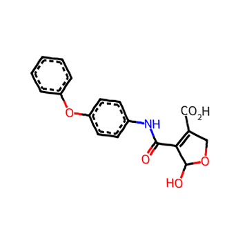 O=C(O)C1=C(C(=O)Nc2ccc(Oc3ccccc3)cc2)C(O)OC1